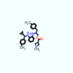 Cc1ccc(CC(COC(=O)C2CN(C)C2)Nc2ccccc2NC(c2ccc(C)cc2)C2CC2)cc1